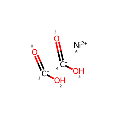 O=[C-]O.O=[C-]O.[Ni+2]